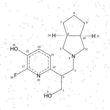 OCC(CN1C[C@H]2CCC[C@H]2C1)c1ccc(O)c(F)n1